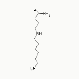 [Li][CH](N)CCCNCCCCCCN